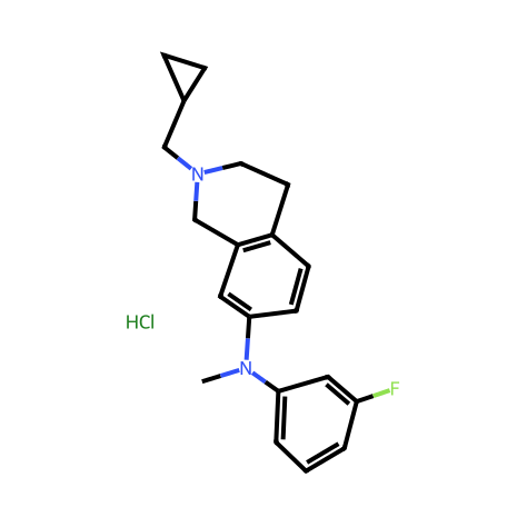 CN(c1cccc(F)c1)c1ccc2c(c1)CN(CC1CC1)CC2.Cl